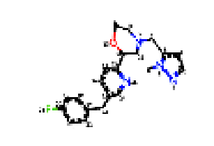 Cn1nccc1CN1CCOC(c2ccc(Cc3ccc(F)cc3)cn2)C1